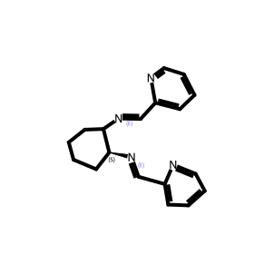 C(=N\C1CCCC[C@@H]1/N=C/c1ccccn1)/c1ccccn1